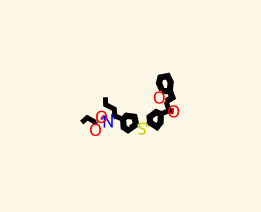 CCC/C(=N\OC(=O)CC)c1ccc(Sc2ccc(C(=O)c3cc4ccccc4o3)cc2)cc1